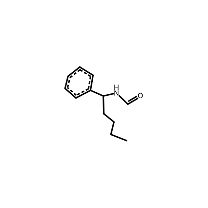 CCCCC(NC=O)c1ccccc1